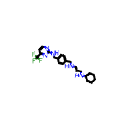 FC(F)(F)c1ccnc(NCc2ccc(CNCCCNC3CCCCC3)cc2)n1